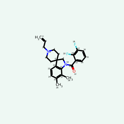 C=CCN1CCC2(CC1)CN(C(=O)c1cccc(F)c1F)c1c2ccc(C)c1C